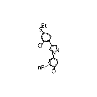 CCCn1cc(-n2cc(-c3ccc(SCC)cc3Cl)cn2)ccc1=O